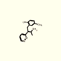 CC(N)C(Cc1cc(O)ccc1Cl)c1cccnn1